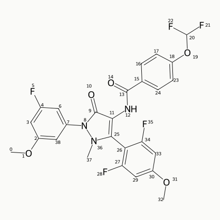 COc1cc(F)cc(-n2c(=O)c(NC(=O)c3ccc(OC(F)F)cc3)c(-c3c(F)cc(OC)cc3F)n2C)c1